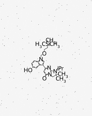 CC(C)N1c2nc(-c3cn(COCC[Si](C)(C)C)c4ccc(O)cc34)cc(=O)n2CC1(C)C